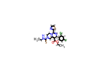 CCNC(=S)N1CCN2C(c3nccs3)=N[C@@H](c3ccc(F)cc3Br)C(C(=O)OCC)=C2C1